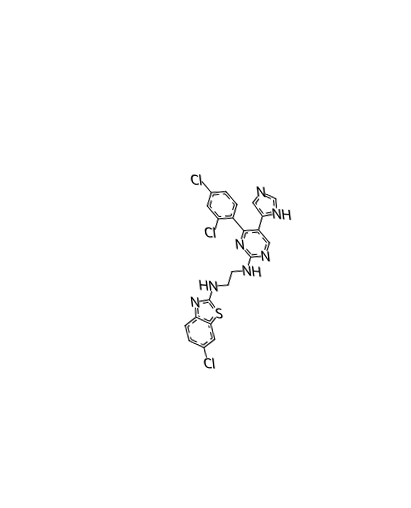 Clc1ccc(-c2nc(NCCNc3nc4ccc(Cl)cc4s3)ncc2-c2cnc[nH]2)c(Cl)c1